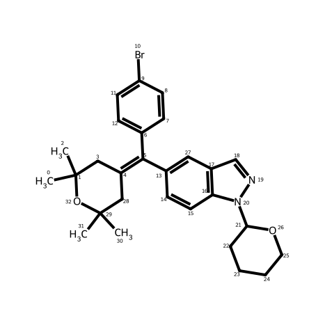 CC1(C)CC(=C(c2ccc(Br)cc2)c2ccc3c(cnn3C3CCCCO3)c2)CC(C)(C)O1